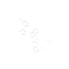 CNc1ncnc(-c2cccnc2Oc2ccc(NC(=O)Nc3cc(Cl)ccc3N(C)CCCN(C)C)c3ccccc23)n1